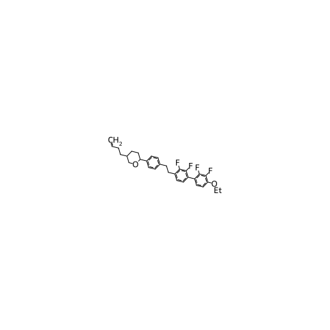 C=CCCC1CCC(c2ccc(CCc3ccc(-c4ccc(OCC)c(F)c4F)c(F)c3F)cc2)OC1